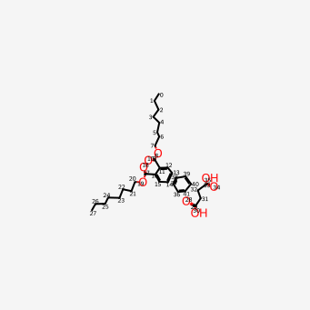 CCCCCCCCOC(=O)c1ccccc1C(=O)OCCCCCCCC.O=C(O)CCC(=O)O.c1ccccc1